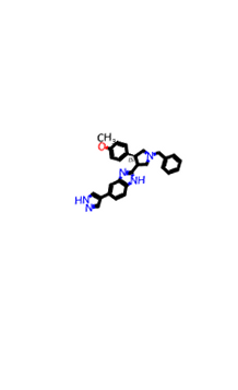 COc1ccc([C@H]2CN(Cc3ccccc3)CC2c2nc3cc(-c4cn[nH]c4)ccc3[nH]2)cc1